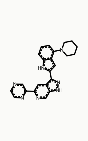 c1cc(N2CCCCC2)c2cc(-c3n[nH]c4cnc(-c5cnccn5)cc34)[nH]c2c1